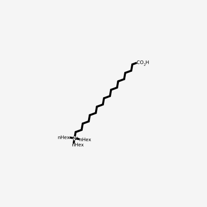 CCCCCC[N+](CCCCCC)(CCCCCC)CCCCCCCCCCCCCCCCCC(=O)O